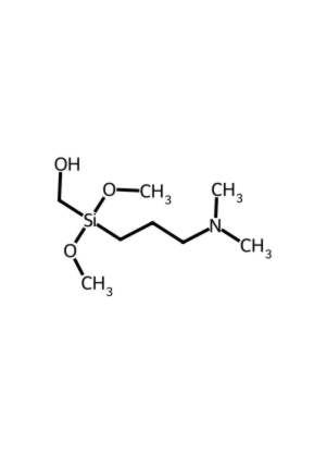 CO[Si](CO)(CCCN(C)C)OC